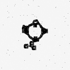 C1=Cc2cc3ccc(cc4nc(cc5ccc(cc1n2)[nH]5)C=C4)[nH]3.ClC(Cl)Cl.[Au]